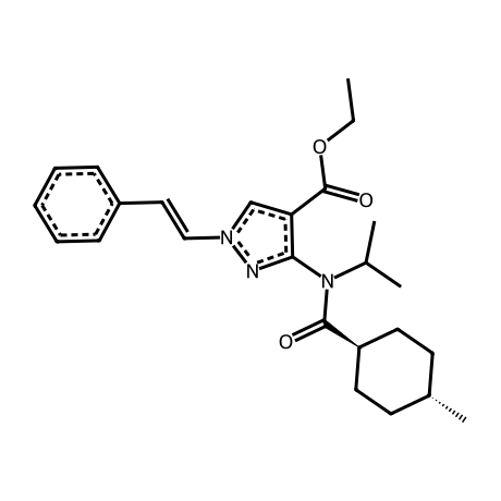 CCOC(=O)c1cn(/C=C/c2ccccc2)nc1N(C(=O)[C@H]1CC[C@H](C)CC1)C(C)C